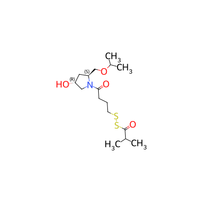 CC(C)OC[C@@H]1C[C@@H](O)CN1C(=O)CCCSSC(=O)C(C)C